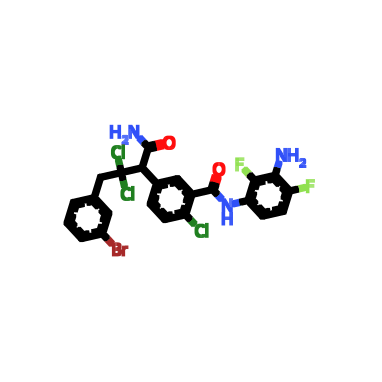 NC(=O)C(c1ccc(Cl)c(C(=O)Nc2ccc(F)c(N)c2F)c1)C(Cl)(Cl)Cc1cccc(Br)c1